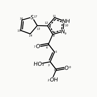 O=C(O)C(O)=CC(=O)c1n[nH]cc1C1CC=CS1